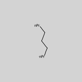 C[CH]CCCC[CH]CC